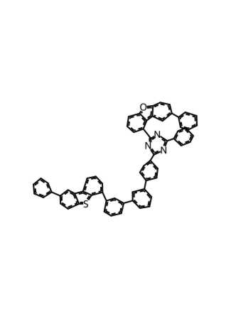 c1ccc(-c2ccc3sc4c(-c5cccc(-c6cccc(-c7ccc(-c8nc(-c9ccccc9)nc(-c9cccc%10oc%11ccc(-c%12ccccc%12)cc%11c9%10)n8)cc7)c6)c5)cccc4c3c2)cc1